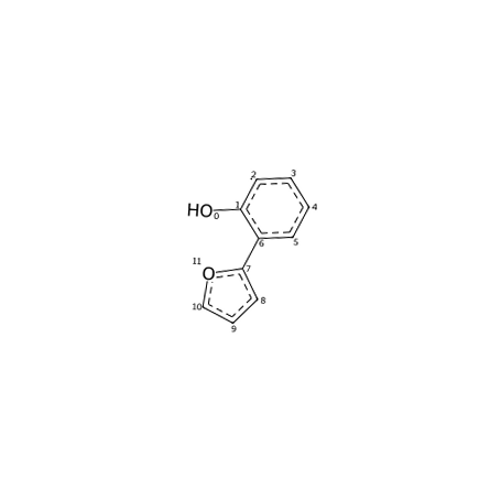 Oc1[c]cccc1-c1ccco1